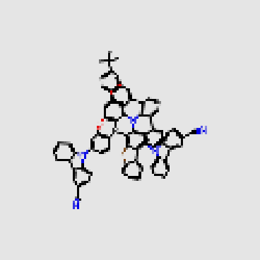 CC(C)(C)c1ccc(-c2cc3c4c(c2)N(c2c(-c5ccccc5)cccc2-c2ccccc2)c2cc(-n5c6ccccc6c6cc(C#N)ccc65)c5c(sc6ccccc65)c2B4c2ccc(-n4c5ccccc5c5cc(C#N)ccc54)cc2O3)cc1